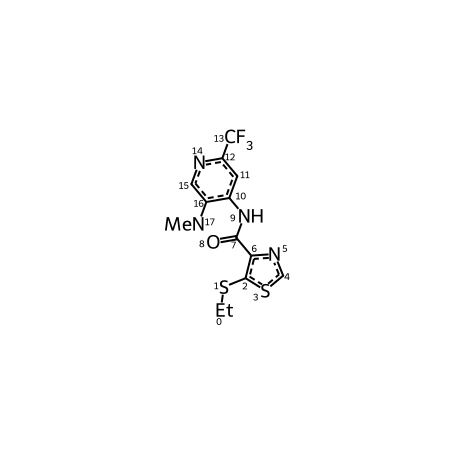 CCSc1scnc1C(=O)Nc1cc(C(F)(F)F)ncc1NC